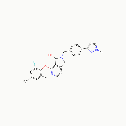 Cc1cc(C(F)(F)F)cc(F)c1Oc1nccc2c1C(O)N(Cc1ccc(-c3ccn(C)n3)cc1)C2